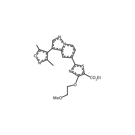 CCOC(=O)c1sc(-c2ccn3ncc(-c4c(C)noc4C)c3c2)nc1OCCOC